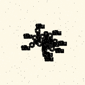 CC(C)(C)c1ccc(N2c3cc4c(cc3B3c5cc6c(cc5Oc5cc(C(C)(C)C)cc2c53)N(c2ccc(C(C)(C)C)cc2)c2cc(C(C)(C)C)cc3c2B6c2c(cccc2C(C)(C)C)N3c2ccc(C(C)(C)C)cc2)B2c3cc(C(C)(C)C)ccc3N(c3ccc(C(C)(C)C)cc3)c3cc(C(C)(C)C)cc(c32)N4c2ccc(C(C)(C)C)cc2)cc1